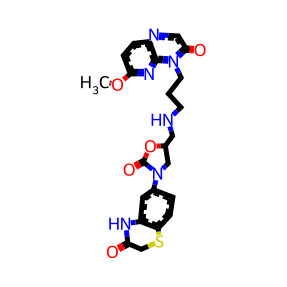 COc1ccc2ncc(=O)n(CCCNCC3CN(c4ccc5c(c4)NC(=O)CS5)C(=O)O3)c2n1